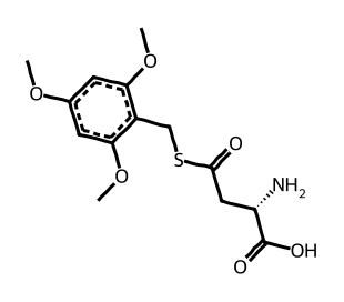 COc1cc(OC)c(CSC(=O)C[C@H](N)C(=O)O)c(OC)c1